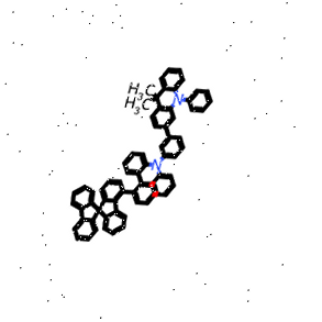 CC1(C)c2ccccc2N(c2ccccc2)c2cc(-c3cccc(N(c4ccccc4)c4ccccc4-c4ccccc4-c4cccc5c4-c4ccccc4C54c5ccccc5-c5ccccc54)c3)ccc21